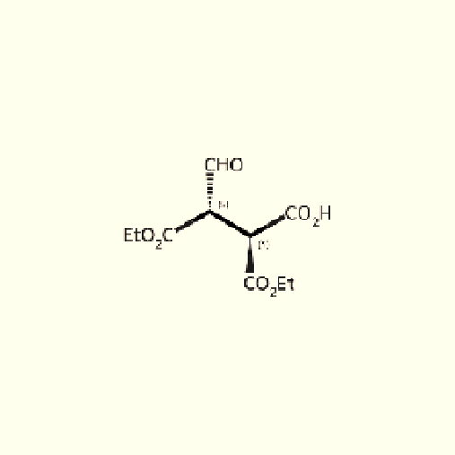 CCOC(=O)[C@H](C(=O)O)[C@@H](C=O)C(=O)OCC